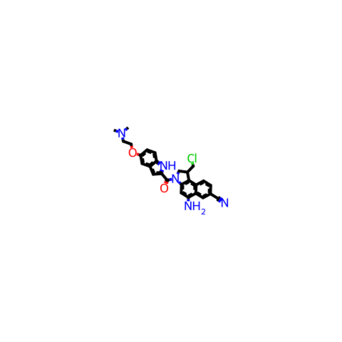 CN(C)CCOc1ccc2[nH]c(C(=O)N3CC(CCl)c4c3cc(N)c3cc(C#N)ccc43)cc2c1